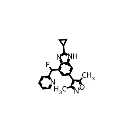 Cc1noc(C)c1-c1cc(C(F)c2ccccn2)c2nc(C3CC3)[nH]c2c1